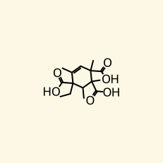 CCC1(C(=O)O)C(C)=CC(C)(C(=O)O)C(C)(C(=O)O)C1C